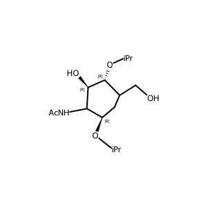 CC(=O)NC1[C@@H](O)[C@H](OC(C)C)C(CO)C[C@H]1OC(C)C